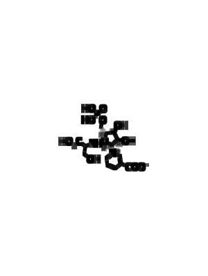 NC(CO)C(=O)O.O=C([O-])c1ccc[n+]([C@@H]2O[C@H](COP(=O)(O)O)[C@@H](O)[C@H]2O)c1